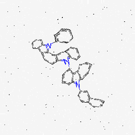 c1ccc(-n2c3ccccc3c3ccc4c(c5ccccc5n4-c4cccc5c4c4ccccc4n5-c4ccc5ccccc5c4)c32)cc1